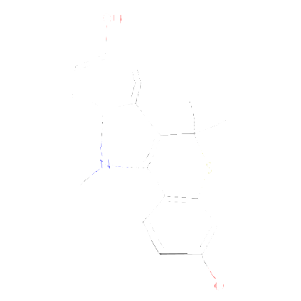 Cn1c2c(c3cc(O)ccc31)C(C)(C)Sc1cc(O)ccc1-2